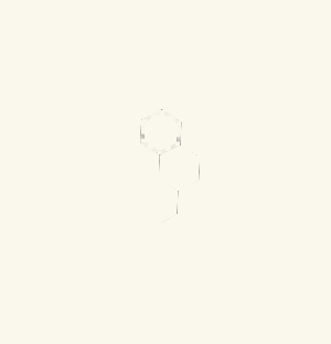 O=C(O)CC1CSc2ccccc2O1